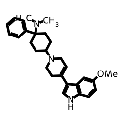 COc1ccc2[nH]cc(C3=CCN(C4CCC(c5ccccc5)(N(C)C)CC4)CC3)c2c1